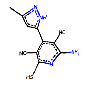 [C-]#[N+]c1c(N)nc(S)c(C#N)c1-c1cc(C)n[nH]1